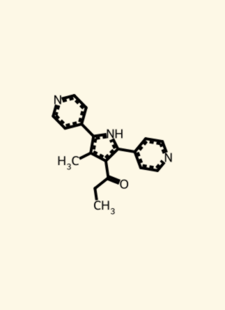 CCC(=O)c1c(-c2ccncc2)[nH]c(-c2ccncc2)c1C